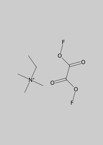 CC[N+](C)(C)C.O=C(OF)C(=O)OF